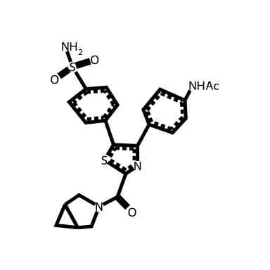 CC(=O)Nc1ccc(-c2nc(C(=O)N3CC4CC4C3)sc2-c2ccc(S(N)(=O)=O)cc2)cc1